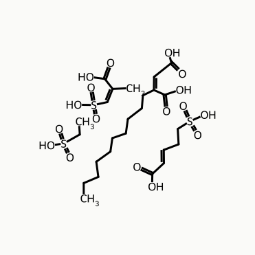 CC(=CS(=O)(=O)O)C(=O)O.CCCCCCCCCCC(=CC(=O)O)C(=O)O.CCS(=O)(=O)O.O=C(O)C=CCCS(=O)(=O)O